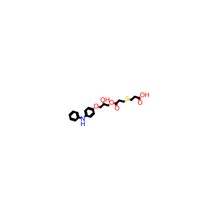 O=C(O)CCSCCC(=O)OCC(O)COc1ccc(Nc2ccccc2)cc1